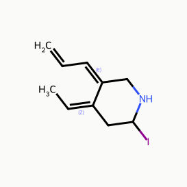 C=C/C=C1/CNC(I)C/C1=C/C